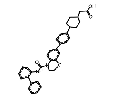 O=C(O)CC1CCC(c2ccc(-c3ccc4c(c3)OCCN4C(=O)Nc3ccccc3-c3ccccc3)cc2)CC1